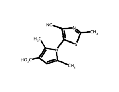 Cc1nc(C#N)c(-n2c(C)cc(C(=O)O)c2C)s1